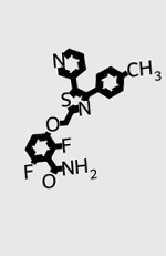 Cc1ccc(-c2nc(COc3ccc(F)c(C(N)=O)c3F)sc2-c2cccnc2)cc1